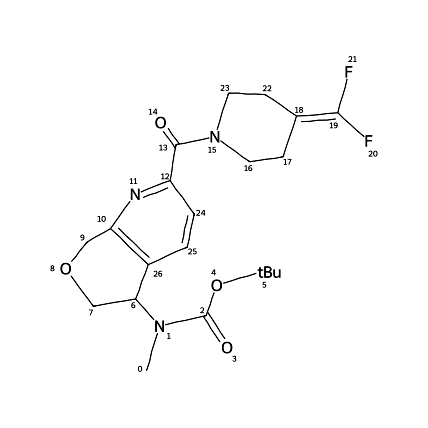 CN(C(=O)OC(C)(C)C)C1COCc2nc(C(=O)N3CCC(=C(F)F)CC3)ccc21